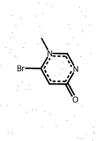 Cn1cnc(=O)cc1Br